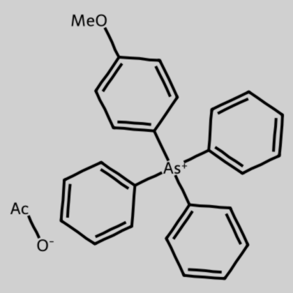 CC(=O)[O-].COc1ccc([As+](c2ccccc2)(c2ccccc2)c2ccccc2)cc1